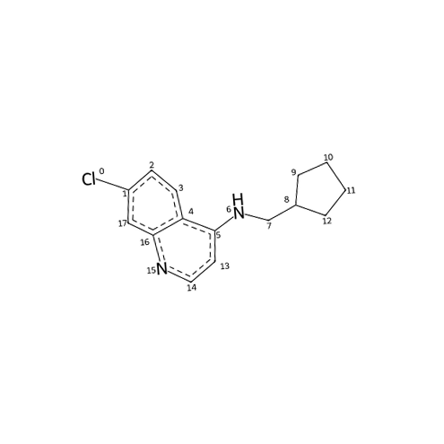 Clc1ccc2c(NCC3CCCC3)ccnc2c1